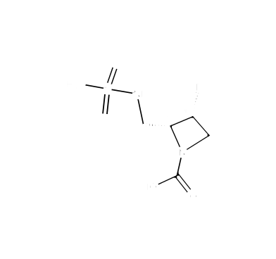 CS(=O)(=O)NC[C@@H]1[C@H](F)CN1C(=O)O